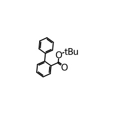 CC(C)(C)OC(=O)c1ccccc1-c1ccccc1